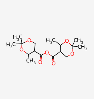 CC1OC(C)(C)OCC1C(=O)OC(=O)C1COC(C)(C)OC1C